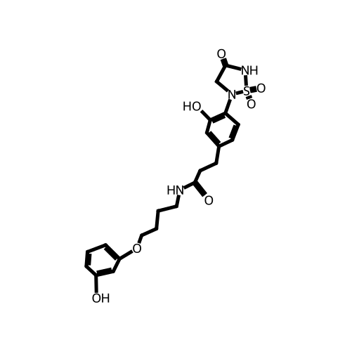 O=C(CCc1ccc(N2CC(=O)NS2(=O)=O)c(O)c1)NCCCCOc1cccc(O)c1